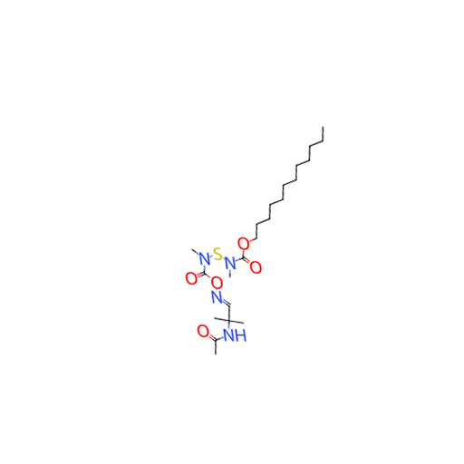 CCCCCCCCCCCCOC(=O)N(C)SN(C)C(=O)ON=CC(C)(C)NC(C)=O